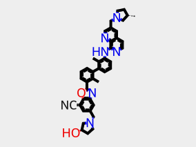 Cc1c(Nc2nccc3cc(CN4CC[C@H](C)C4)cnc23)cccc1-c1cccc(-c2nc3cc(CN4CC[C@@H](O)C4)cc(C#N)c3o2)c1C